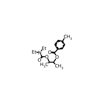 CCN(CC)C(=O)OC(C)C(C)OC(=O)c1ccc(C)cc1